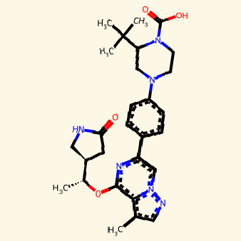 Cc1cnn2cc(-c3ccc(N4CCN(C(=O)O)C(C(C)(C)C)C4)cc3)nc(O[C@H](C)[C@H]3CNC(=O)C3)c12